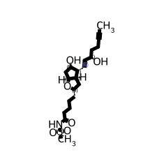 CC#CCC[C@H](O)/C=C/[C@@H]1[C@H]2C[C@H](CCCCC(=O)NS(C)(=O)=O)O[C@H]2C[C@H]1O